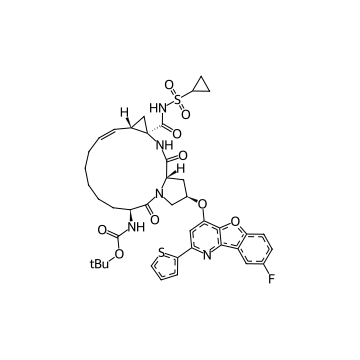 CC(C)(C)OC(=O)N[C@H]1CCCCC/C=C\[C@@H]2C[C@@]2(C(=O)NS(=O)(=O)C2CC2)NC(=O)[C@@H]2C[C@@H](Oc3cc(-c4cccs4)nc4c3oc3ccc(F)cc34)CN2C1=O